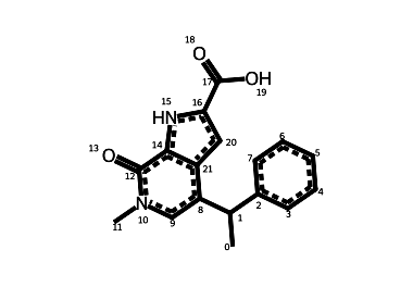 CC(c1ccccc1)c1cn(C)c(=O)c2[nH]c(C(=O)O)cc12